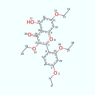 CCOc1ccc(-c2oc3cc(OCC)cc(O)c3c(=O)c2OCC)c(OCC)c1